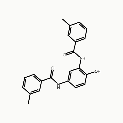 Cc1cccc(C(=O)Nc2ccc(O)c(NC(=O)c3cccc(C)c3)c2)c1